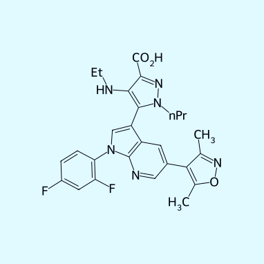 CCCn1nc(C(=O)O)c(NCC)c1-c1cn(-c2ccc(F)cc2F)c2ncc(-c3c(C)noc3C)cc12